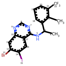 Cc1c(C(C)Nc2ncnc3cc(Br)c(I)cc23)cccc1C(F)(F)F